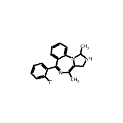 CC1=C2CNC(C)N2c2ccccc2C(c2ccccc2F)=N1